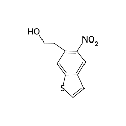 O=[N+]([O-])c1cc2ccsc2cc1CCO